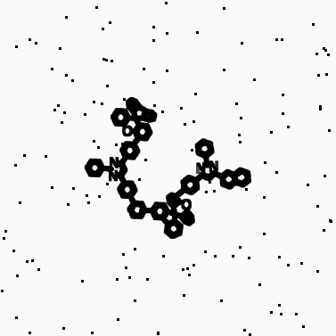 c1ccc(-c2nc(-c3ccc(-c4cccc(-c5ccc6c(c5)-c5ccccc5C65c6ccccc6Oc6c(-c7ccc(-c8cc(-c9ccc%10ccccc%10c9)nc(-c9ccccc9)n8)cc7)cccc65)c4)cc3)cc(-c3ccc(-c4cccc5c4Oc4ccccc4C54c5ccccc5-c5ccccc54)cc3)n2)cc1